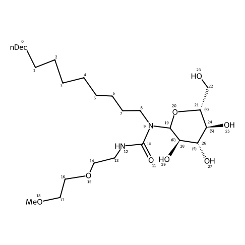 CCCCCCCCCCCCCCCCCCN(C(=O)NCCOCCOC)C1O[C@H](CO)[C@@H](O)[C@H](O)[C@H]1O